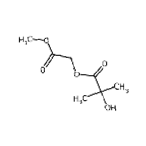 COC(=O)COC(=O)C(C)(C)O